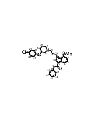 COc1cccc2c(C(=O)Cc3ccccc3)cn(CCCN3CCCC(Oc4ccc(Cl)cc4)C3)c12